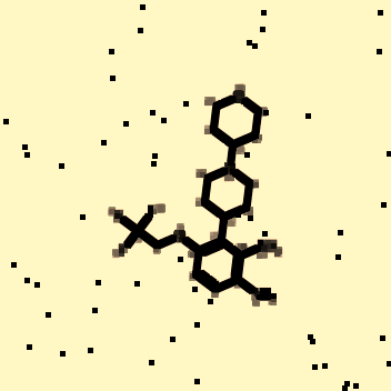 Nc1ccc(OCC(F)(F)F)c(C2CCN(C3CCOCC3)CC2)c1N